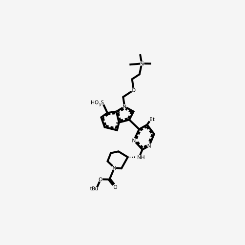 CCc1cnc(N[C@H]2CCCN(C(=O)OC(C)(C)C)C2)nc1-c1cn(COCC[Si](C)(C)C)c2c(S(=O)(=O)O)cccc12